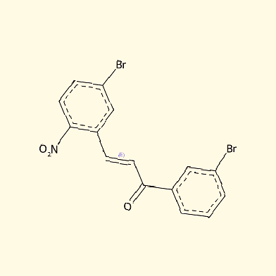 O=C(/C=C/c1cc(Br)ccc1[N+](=O)[O-])c1cccc(Br)c1